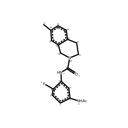 CC(=O)Nc1ccc(F)c(NC(=O)N2CCc3ccc(C)cc3C2)c1